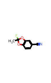 CC1(F)Oc2ccc(C#N)cc2O1